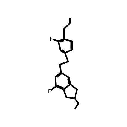 CCCc1ccc(CCc2cc(F)c3c(c2)CC(CC)C3)cc1F